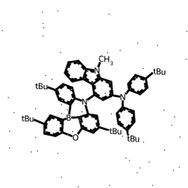 Cn1c2ccccc2c2c(N3c4ccc(C(C)(C)C)cc4B4c5cc(C(C)(C)C)ccc5Oc5cc(C(C)(C)C)cc3c54)cc(N(c3ccc(C(C)(C)C)cc3)c3ccc(C(C)(C)C)cc3)cc21